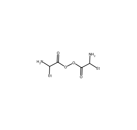 CCC(N)C(=O)OOC(=O)C(N)CC